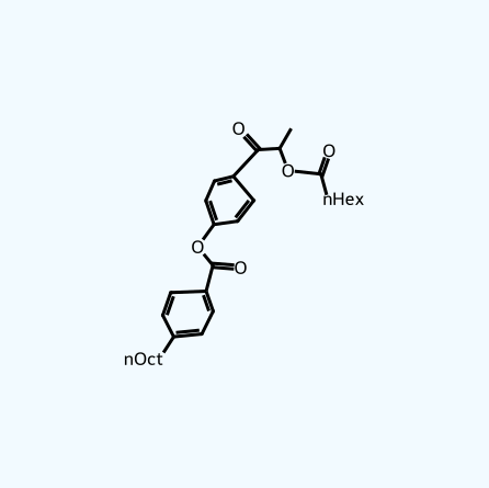 CCCCCCCCc1ccc(C(=O)Oc2ccc(C(=O)C(C)OC(=O)CCCCCC)cc2)cc1